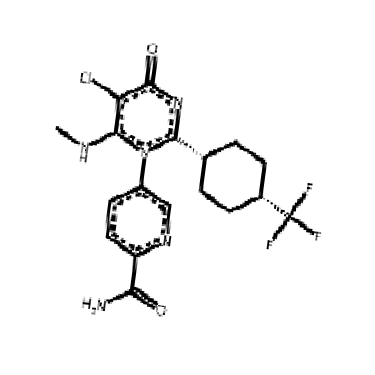 CNc1c(Cl)c(=O)nc([C@H]2CC[C@@H](C(F)(F)F)CC2)n1-c1ccc(C(N)=O)nc1